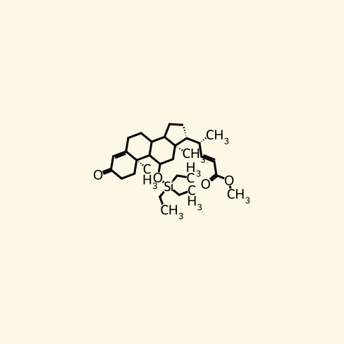 CC[Si](CC)(CC)OC1C[C@@]2(C)C(CC[C@@H]2[C@H](C)/C=C/C(=O)OC)C2CCC3=CC(=O)CC[C@]3(C)C12